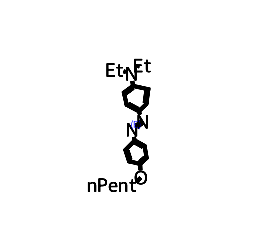 CCCCCOc1ccc(/N=N/c2ccc(N(CC)CC)cc2)cc1